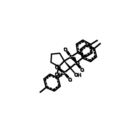 Cc1ccc(S(=O)(=O)C(O)([C@]2(S(=O)(=O)c3ccc(C)cc3)CCCN2O)S(=O)(=O)c2ccc(C)cc2)cc1